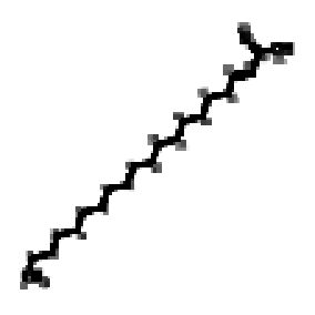 CCCCCCCCCCCCCCCCCC=CC(=O)O